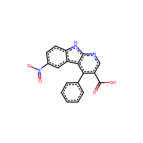 O=C(O)c1cnc2[nH]c3ccc([N+](=O)[O-])cc3c2c1-c1ccccc1